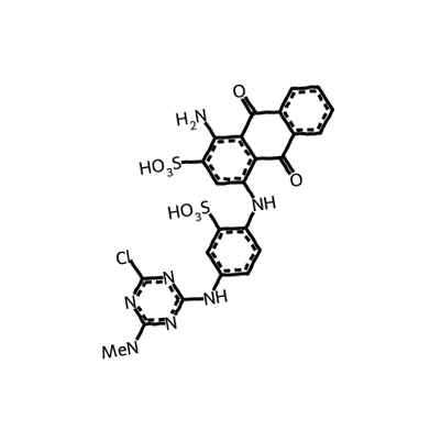 CNc1nc(Cl)nc(Nc2ccc(Nc3cc(S(=O)(=O)O)c(N)c4c3C(=O)c3ccccc3C4=O)c(S(=O)(=O)O)c2)n1